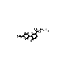 CCOC(=O)c1ccc(I)c(-c2ccc(C#N)nc2)c1